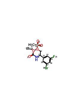 CC(C)(C)OC(=O)NC(COS(C)(=O)=O)c1cc(F)cc(Br)c1